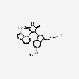 COc1ccc2c(C3=C(c4cccc5ccn(C)c45)C(=O)NC3=O)cn(CCCO)c2c1